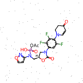 CC(=O)OP(=O)(O)N(C[C@H]1CN(c2cc(F)c(N3C=CC(=O)CC3)c(F)c2F)C(=O)O1)c1ccon1